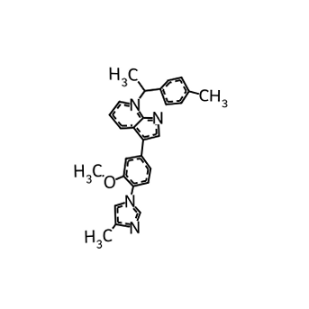 COc1cc(-c2cnc3n(C(C)c4ccc(C)cc4)cccc2-3)ccc1-n1cnc(C)c1